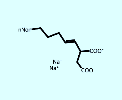 CCCCCCCCCCCCC=CC(CC(=O)[O-])C(=O)[O-].[Na+].[Na+]